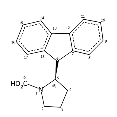 O=C(O)N1CCC[C@@H]1C1c2ccccc2-c2ccccc21